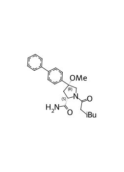 CCC(C)CC(=O)N1C[C@](OC)(c2ccc(-c3ccccc3)cc2)C[C@H]1C(N)=O